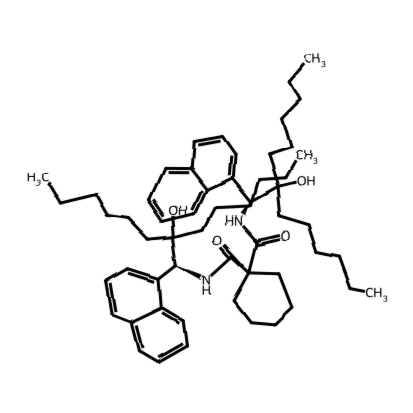 CCCCCCC(O)(CCCCCC)[C@@H](NC(=O)C1(C(=O)N[C@@H](c2cccc3ccccc23)C(O)(CCCCCC)CCCCCC)CCCCC1)c1cccc2ccccc12